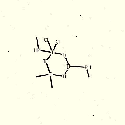 C[PH][Ti]1[Ti][Ti]([CH3])([CH3])[Ti][Ti]([Cl])([Cl])([PH]C)[Ti]1